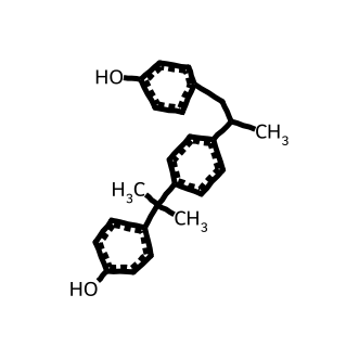 CC(Cc1ccc(O)cc1)c1ccc(C(C)(C)c2ccc(O)cc2)cc1